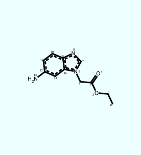 CCOC(=O)Cn1cnc2ccc(N)cc21